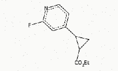 CCOC(=O)C1CC1c1ccnc(F)c1